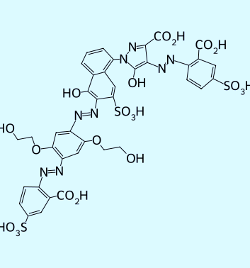 O=C(O)c1cc(S(=O)(=O)O)ccc1/N=N/c1cc(OCCO)c(/N=N/c2c(S(=O)(=O)O)cc3c(-n4nc(C(=O)O)c(/N=N/c5ccc(S(=O)(=O)O)cc5C(=O)O)c4O)cccc3c2O)cc1OCCO